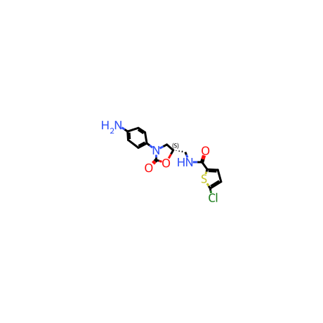 Nc1ccc(N2C[C@H](CNC(=O)c3ccc(Cl)s3)OC2=O)cc1